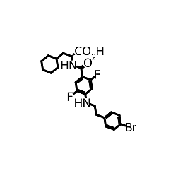 O=C(N[C@@H](CC1CCCCC1)C(=O)O)c1cc(F)c(NCCc2ccc(Br)cc2)cc1F